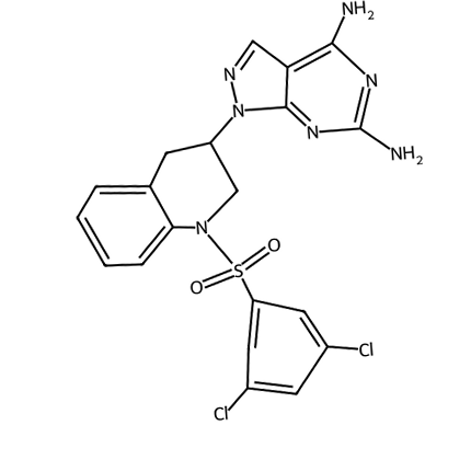 Nc1nc(N)c2cnn(C3Cc4ccccc4N(S(=O)(=O)c4cc(Cl)cc(Cl)c4)C3)c2n1